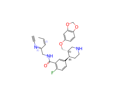 C#C/N=C(\C=C/C)CNC(=O)c1cc([C@@H]2CCNC[C@H]2COc2ccc3c(c2)OCO3)ccc1F